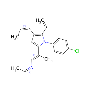 C=Cc1c(/C=C\C)cc(/C(C)=C/N=C\C)n1-c1ccc(Cl)cc1